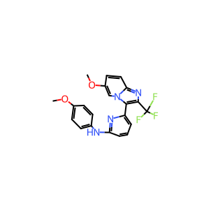 COc1ccc(Nc2cccc(-c3c(C(F)(F)F)nc4ccc(OC)cn34)n2)cc1